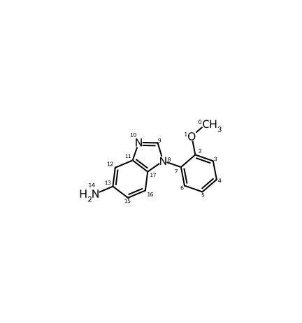 COc1ccccc1-n1cnc2cc(N)ccc21